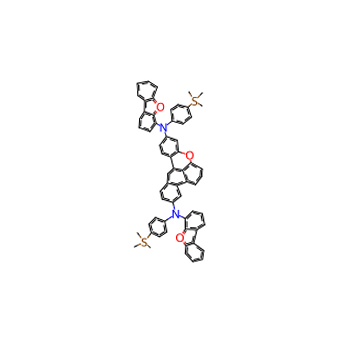 CS(C)(C)c1ccc(N(c2ccc3c(c2)Oc2cccc4c2c-3cc2ccc(N(c3ccc(S(C)(C)C)cc3)c3cccc5c3oc3ccccc35)cc24)c2cccc3c2oc2ccccc23)cc1